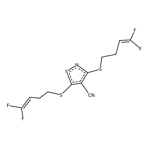 N#Cc1c(SCCC=C(F)F)nsc1SCCC=C(F)F